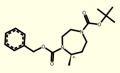 C[C@@H]1CCN(C(=O)OC(C)(C)C)CCN1C(=O)OCc1ccccc1